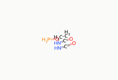 CC.N=C=O.N=C=O.O=[PH3]